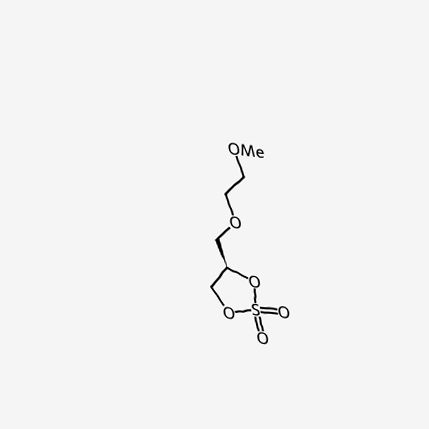 COCCOC[C@@H]1COS(=O)(=O)O1